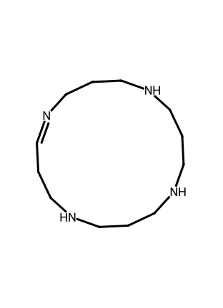 C1=NCCCNCCCNCCCNCC1